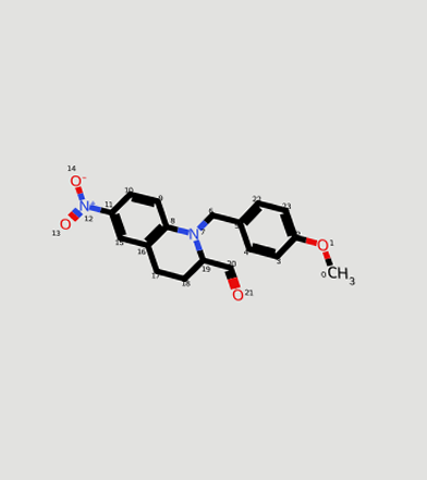 COc1ccc(CN2c3ccc([N+](=O)[O-])cc3CCC2C=O)cc1